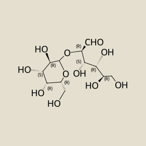 O=C[C@H](OC1O[C@H](CO)[C@H](O)[C@H](O)[C@H]1O)[C@@H](O)[C@H](O)[C@H](O)CO